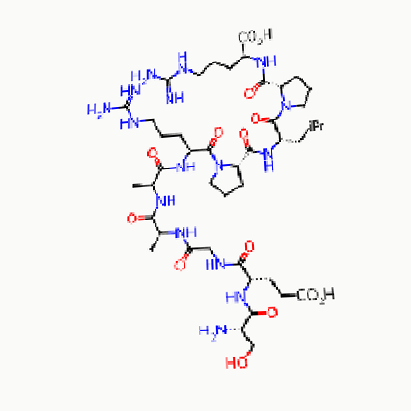 CC(C)C[C@H](NC(=O)[C@@H]1CCCN1C(=O)[C@H](CCCNC(=N)N)NC(=O)[C@H](C)NC(=O)[C@H](C)NC(=O)CNC(=O)[C@H](CCC(=O)O)NC(=O)[C@@H](N)CO)C(=O)N1CCC[C@H]1C(=O)N[C@@H](CCCNC(=N)N)C(=O)O